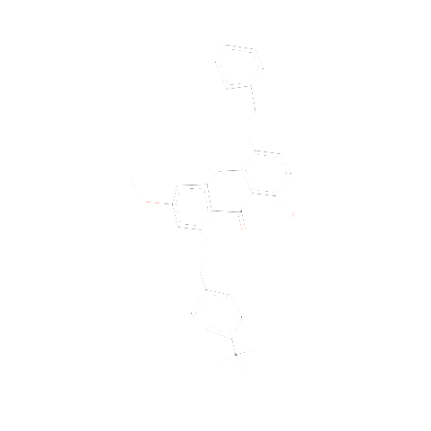 COc1cc2c(c(OCc3ccc(C(F)(F)F)cc3)c1)C(=O)c1c(O)ccc(OCc3ccccc3)c1C2